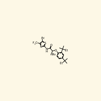 CCCCC(Oc1ccc(C(C)(C)CC)cc1C(C)(C)CC)C(=O)Nc1nc(C(F)(F)F)c(C(C)=O)s1